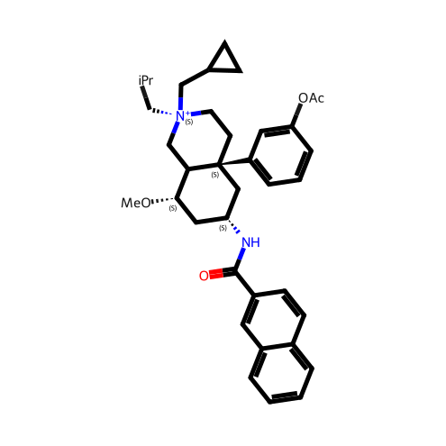 CO[C@H]1C[C@@H](NC(=O)c2ccc3ccccc3c2)C[C@@]2(c3cccc(OC(C)=O)c3)CC[N@+](CC(C)C)(CC3CC3)CC12